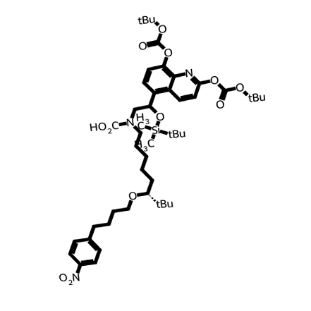 CC(C)(C)OC(=O)Oc1ccc2c(C(CN(CCCCC[C@@H](OCCCCc3ccc([N+](=O)[O-])cc3)C(C)(C)C)C(=O)O)O[Si](C)(C)C(C)(C)C)ccc(OC(=O)OC(C)(C)C)c2n1